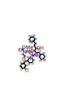 COC(=O)NCCOC(c1cccc(Cl)c1)C1CCCN(C(=O)NC(CC2CCCCC2)C(O)C(O)CCc2ccccn2)C1